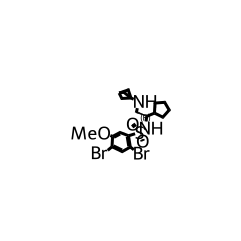 COc1cc(S(=O)(=O)N[C@@H](CNC23CC(C2)C3)C2CCCC2)c(Br)cc1Br